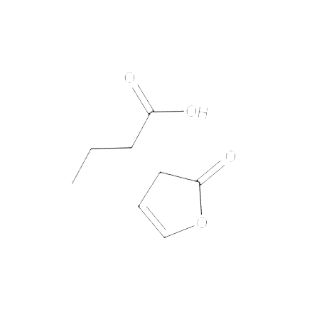 CCCC(=O)O.O=C1CC=CO1